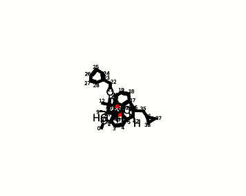 CO[C@]12C=C[C@@]3(C[C@@H]1[C@](C)(O)C(C)(C)C)[C@H]1Cc4ccc(OCc5ccccc5)c5c4[C@@]3(CCN1CC1CC1)[C@H]2O5